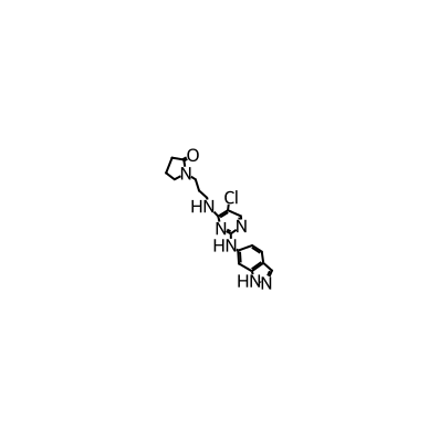 O=C1CCCN1CCCNc1nc(Nc2ccc3cn[nH]c3c2)ncc1Cl